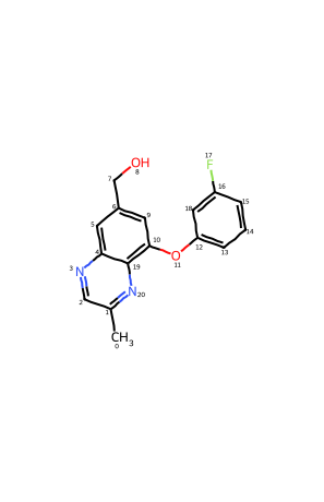 Cc1cnc2cc(CO)cc(Oc3cccc(F)c3)c2n1